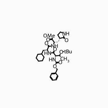 COC(=O)[C@H](C[C@@H]1CCNC1=O)NC(=O)[C@H](CC1CCCCC1)NC(=O)[C@@H](NC(=O)OCc1ccccc1)C(C)OC(C)(C)C